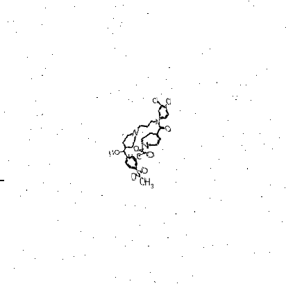 CS(=O)(=O)c1ccc(C(O)C2CCN(CCCN(C(=O)C3CCN(S(C)(=O)=O)CC3)c3ccc(Cl)c(Cl)c3)CC2)cc1